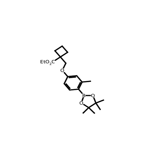 CCOC(=O)C1(COc2ccc(B3OC(C)(C)C(C)(C)O3)c(C)c2)CCC1